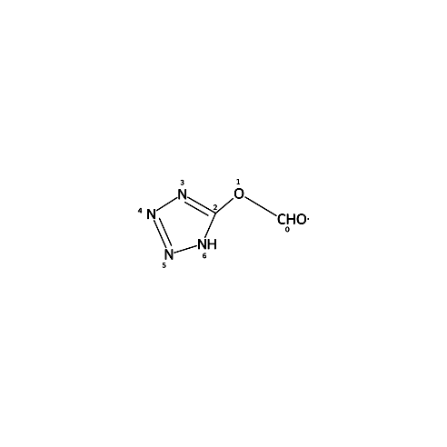 O=[C]Oc1nnn[nH]1